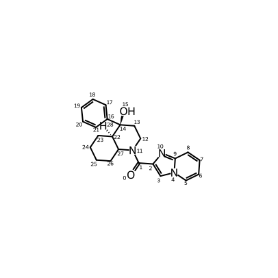 O=C(c1cn2ccccc2n1)N1CC[C@@](O)(c2ccccc2)[C@@H]2CCCCC21